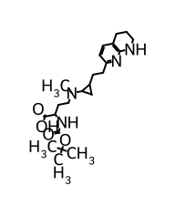 CN(CCC(NC(=O)OC(C)(C)C)C(=O)O)C1CC1CCc1ccc2c(n1)NCCC2